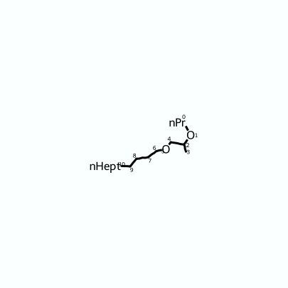 C[CH]COC(C)COCCCCCCCCCCC